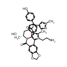 Cc1c(C(=O)N(c2ccc(O)cc2)c2cnn(C)c2)cc(-c2cc3c(cc2C(=O)N2Cc4ccccc4C[C@H]2C)OCO3)n1CCN.Cl